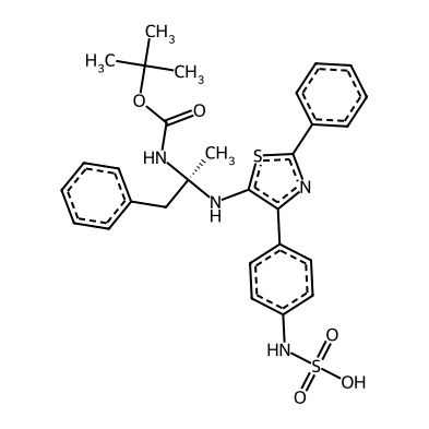 CC(C)(C)OC(=O)N[C@](C)(Cc1ccccc1)Nc1sc(-c2ccccc2)nc1-c1ccc(NS(=O)(=O)O)cc1